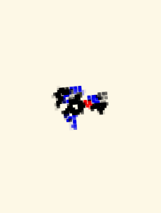 CCNC1(COc2cc3[nH]ncc3c(-n3c(C)ccc3N)c2C)CC1